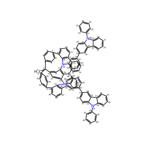 CC12c3ccc(cc3)-c3cccc(-c4ccccc4)c3N3c4cc(-c5ccc6c(c5)c5ccccc5n6-c5ccccc5)ccc4B4c5ccc(-c6ccc7c(c6)c6ccccc6n7-c6ccccc6)cc5N(c5cc1cc3c54)c1c(-c3ccccc3)cccc1-c1ccc2cc1